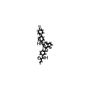 C=CC(=O)Nc1cccc(Oc2nc(Nc3ccc(N4CCN(C)CC4)cn3)nc3ccsc23)c1